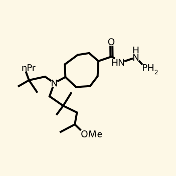 CCCC(C)(C)CN(CC(C)(C)CC(C)OC)C1CCCC(C(=O)NNP)CCC1